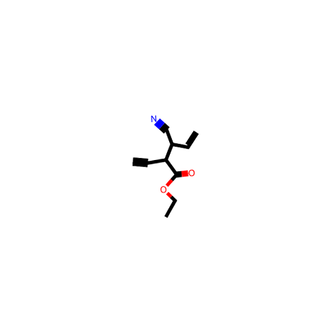 C#CC(C(=O)OCC)C(C#N)C=C